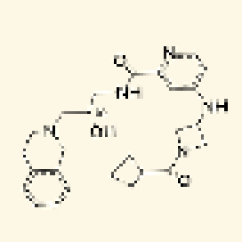 O=C(NC[C@H](O)CN1CCc2ccccc2C1)c1cc(NC2CN(C(=O)C3CCC3)C2)ccn1